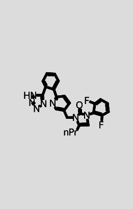 CCCc1cn(-c2c(F)cccc2F)c(=O)n1Cc1ccc(-c2ccccc2-c2nnn[nH]2)nc1